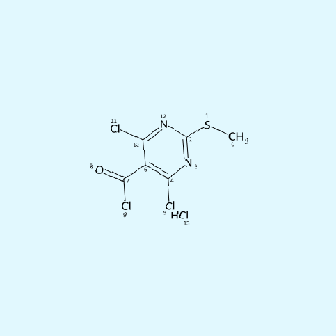 CSc1nc(Cl)c(C(=O)Cl)c(Cl)n1.Cl